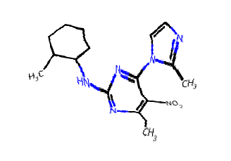 Cc1nc(NC2CCCCC2C)nc(-n2ccnc2C)c1[N+](=O)[O-]